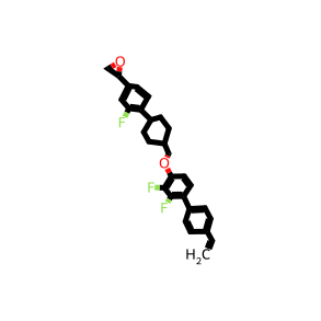 C=Cc1ccc(-c2ccc(OCC3CCC(c4ccc(C5CO5)cc4F)CC3)c(F)c2F)cc1